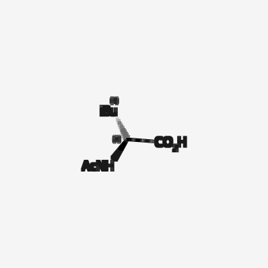 CC[C@@H](C)[C@H](NC(C)=O)C(=O)O